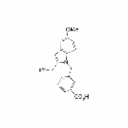 COc1ccc2c(c1)cc(CC(C)C)n2Cc1cccc(C(=O)O)c1